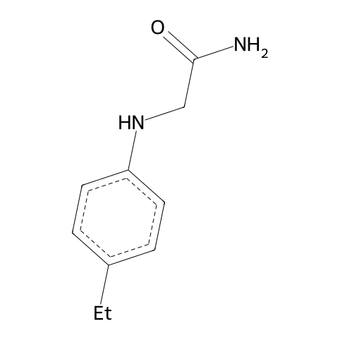 CCc1ccc(NCC(N)=O)cc1